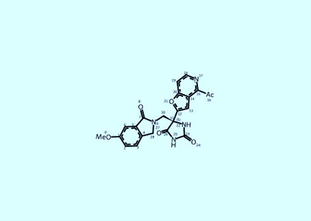 COc1ccc2c(c1)C(=O)N(C[C@@]1(c3cc4c(C(C)=O)nccc4o3)NC(=O)NC1=O)C2